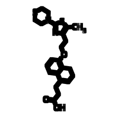 Cc1sc(N2CCSCC2)nc1CCOc1cccc2c1CCC=C2CCC(=O)O